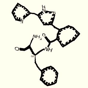 NC(=O)[C@H](Cc1ccccc1)NC(=O)c1ccccc1-c1cc(-c2ccccn2)[nH]n1